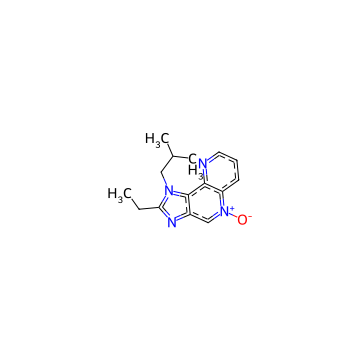 CCc1nc2c[n+]([O-])c3cccnc3c2n1CC(C)C